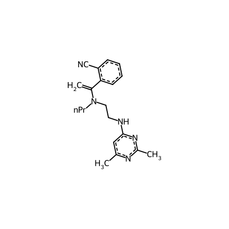 C=C(c1ccccc1C#N)N(CCC)CCNc1cc(C)nc(C)n1